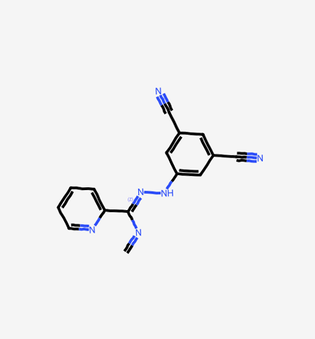 C=N/C(=N\Nc1cc(C#N)cc(C#N)c1)c1ccccn1